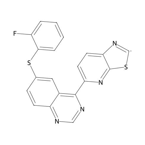 Fc1ccccc1Sc1ccc2ncnc(-c3ccc4n[c]sc4n3)c2c1